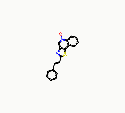 [O-][n+]1cc2nc(C=Cc3ccccc3)sc2c2ccccc21